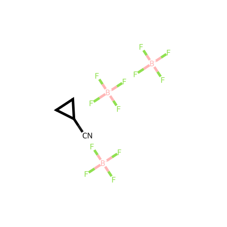 F[B-](F)(F)F.F[B-](F)(F)F.F[B-](F)(F)F.N#CC1CC1